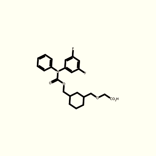 O=C(O)COCC1CCCC(COC(=O)N(c2ccccc2)c2cc(F)cc(F)c2)C1